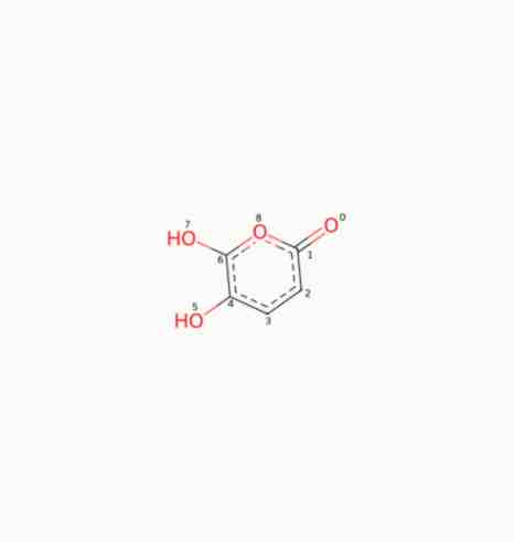 O=c1ccc(O)c(O)o1